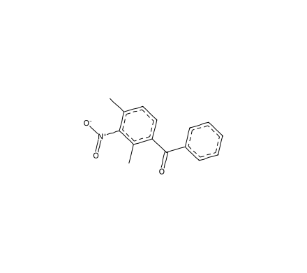 Cc1ccc(C(=O)c2ccccc2)c(C)c1[N+](=O)[O-]